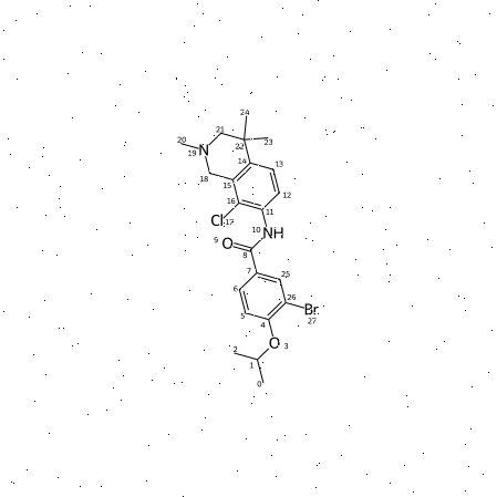 CC(C)Oc1ccc(C(=O)Nc2ccc3c(c2Cl)CN(C)CC3(C)C)cc1Br